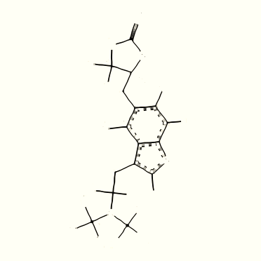 [2H]c1[nH]c2c([2H])c([2H])c(C[C@]3([2H])NC(=O)OC3([2H])[2H])c([2H])c2c1CC([2H])([2H])N(C([2H])([2H])[2H])C([2H])([2H])[2H]